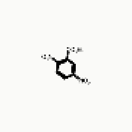 CCOC(=O)c1cc([N+](=O)[O-])ccc1[N+](=O)[O-]